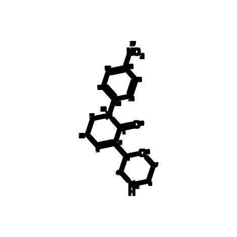 O=C1C(C2CNCCO2)=CCCN1c1ccc([N+](=O)[O-])cc1